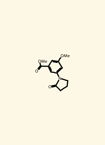 COC(=O)c1cc(OC)cc(N2CCCC2=O)c1